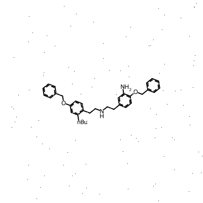 CCCCc1cc(OCc2ccccc2)ccc1CCNCCc1ccc(OCc2ccccc2)c(N)c1